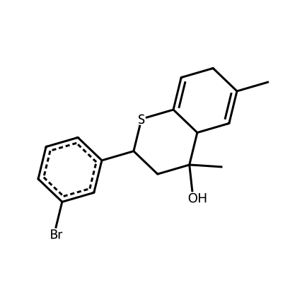 CC1=CC2C(=CC1)SC(c1cccc(Br)c1)CC2(C)O